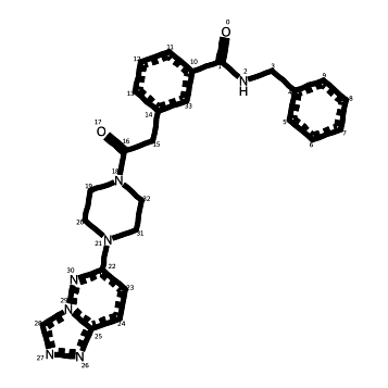 O=C(NCc1ccccc1)c1cccc(CC(=O)N2CCN(c3ccc4nncn4n3)CC2)c1